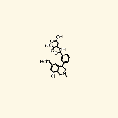 CN1Cc2c(Cl)cc(Cl)cc2C(c2cccc(C(=O)NC(CC(=O)O)C(=O)O)c2)C1.Cl